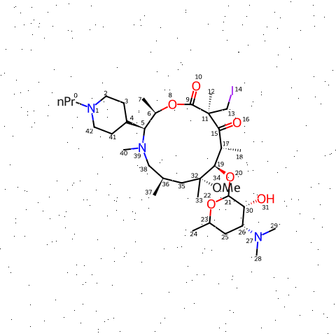 CCCN1CCC([C@H]2[C@@H](C)OC(=O)[C@@](C)(CI)C(=O)[C@H](C)[C@@H](OC3OC(C)C[C@@H](N(C)C)[C@H]3O)[C@](C)(OC)C[C@@H](C)CN2C)CC1